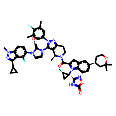 Cc1cc(-n2nc3c(c2N2C=CN(c4ccc5c(c(C6CC6)nn5C)c4F)C2=C=O)[C@H](C)N(C(=O)c2cc4cc([C@H]5CCOC(C)(C)C5)ccc4n2[C@@]2(c4noc(=O)[nH]4)C[C@@H]2C)CC3)cc(C)c1F